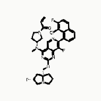 C=CC(=O)N1CC[C@@H](N(C)c2nc(OC[C@]34CCCN3C[C@H](F)C4)nc3c(F)c(-c4cccc5ccc(F)c(Cl)c45)ncc23)C1